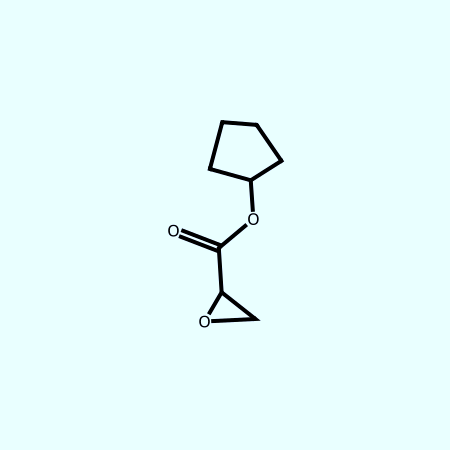 O=C(OC1CCCC1)C1CO1